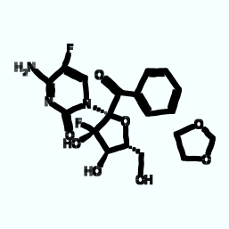 C1COCO1.Nc1nc(=O)n([C@]2(C(=O)c3ccccc3)O[C@H](CO)[C@@H](O)[C@]2(O)F)cc1F